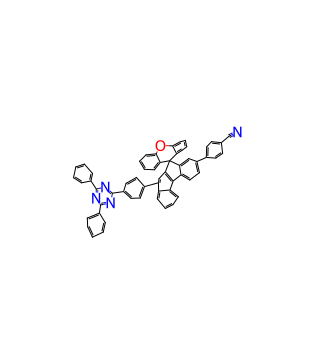 N#Cc1ccc(-c2ccc3c(c2)C2(c4ccccc4Oc4ccccc42)c2cc(-c4ccc(-c5nc(-c6ccccc6)nc(-c6ccccc6)n5)cc4)c4ccccc4c2-3)cc1